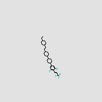 CCC1CCC(CCC2CCC(C3CCC(c4cc(F)c(/C=C/C(F)(F)F)c(F)c4)CC3)CC2)CC1